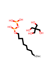 CCCCCCCCCCCCCCCCCCOP(O)OP(O)O.OCC(CO)(CO)CO